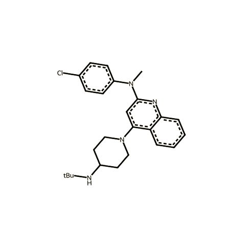 CN(c1ccc(Cl)cc1)c1cc(N2CCC(NC(C)(C)C)CC2)c2ccccc2n1